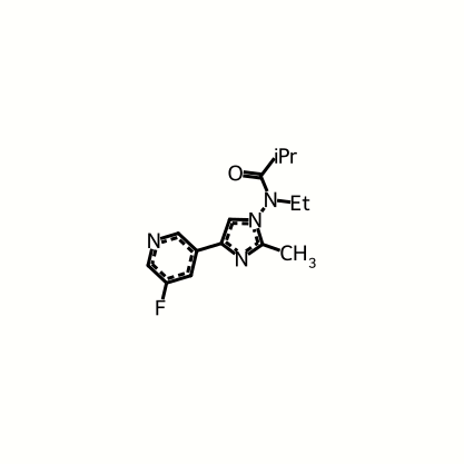 CCN(C(=O)C(C)C)n1cc(-c2cncc(F)c2)nc1C